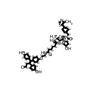 Cc1ncsc1-c1ccc(CNC(=O)[C@@H]2C[C@@H](O)CN2C(=O)[C@@H](NC(=O)CCCCC(=O)NCCOc2ccc(C(=C(CCCl)c3ccc(O)cc3)c3ccc(O)cc3)cc2)C(C)(C)C)cc1